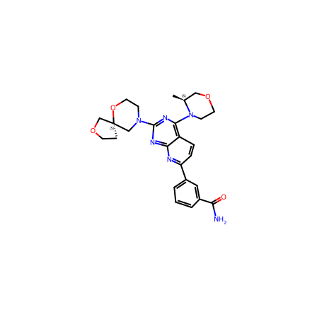 C[C@H]1COCCN1c1nc(N2CCO[C@@]3(CCOC3)C2)nc2nc(-c3cccc(C(N)=O)c3)ccc12